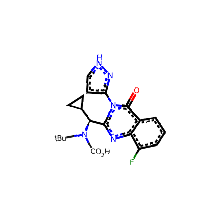 CC(C)(C)N(C(=O)O)[C@H](c1nc2c(F)cccc2c(=O)n1-c1cc[nH]n1)C1CC1